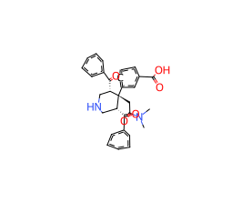 CN(C)C(=O)C[C@]1(c2cccc(C(=O)O)c2)[C@@H](C(=O)c2ccccc2)CNC[C@H]1C(=O)c1ccccc1